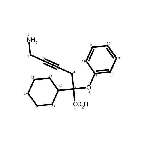 NCC#CCC(Oc1ccccc1)(C(=O)O)C1CCCCC1